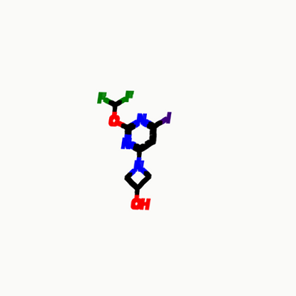 OC1CN(c2cc(I)nc(OC(F)F)n2)C1